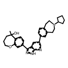 CC1(O)CCCOc2cc(-c3n[nH]c4ncc(-c5ccc6c(c5)CCN(C5CCCC5)CC6)cc34)ccc21